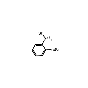 CCCCc1ccccc1[SiH2]Br